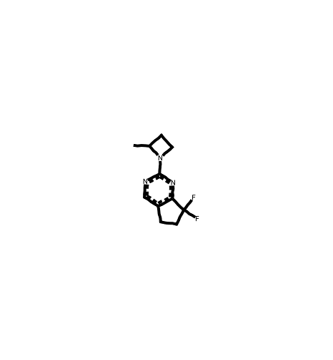 CC1CCN1c1ncc2c(n1)C(F)(F)CC2